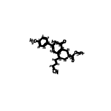 Cc1ccc(-c2nc3c(c(=O)[nH]2)CN(C(=O)OC(C)C)CC3CCCC#N)cc1